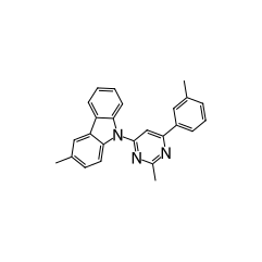 Cc1cccc(-c2cc(-n3c4ccccc4c4cc(C)ccc43)nc(C)n2)c1